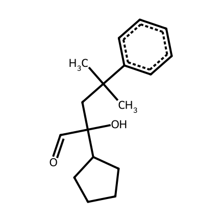 CC(C)(CC(O)(C=O)C1CCCC1)c1ccccc1